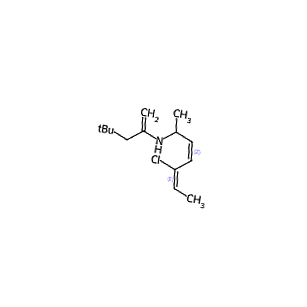 C=C(CC(C)(C)C)NC(C)/C=C\C(Cl)=C/C